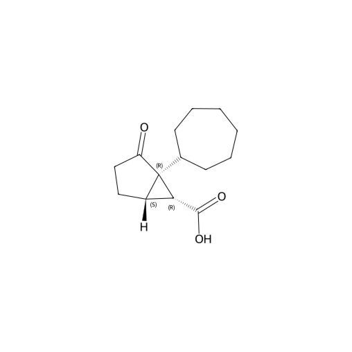 O=C(O)[C@@H]1[C@@H]2CCC(=O)[C@@]12C1CCCCCC1